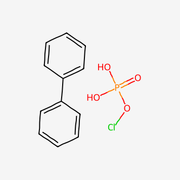 O=P(O)(O)OCl.c1ccc(-c2ccccc2)cc1